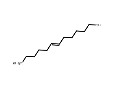 CCCCCCCCCCCC=CCCCCCO